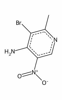 Cc1ncc([N+](=O)[O-])c(N)c1Br